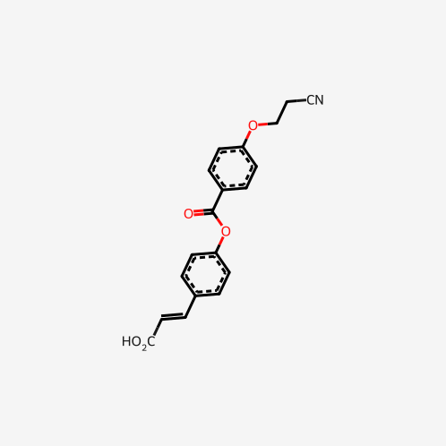 N#CCCOc1ccc(C(=O)Oc2ccc(C=CC(=O)O)cc2)cc1